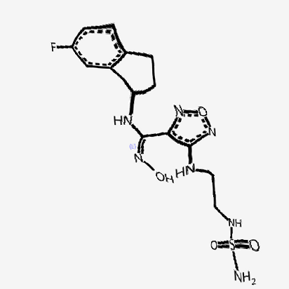 NS(=O)(=O)NCCNc1nonc1/C(=N\O)NC1CCc2ccc(F)cc21